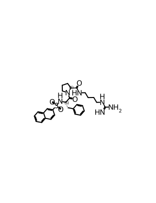 N=C(N)NCCCCNC(=O)[C@@H]1CCCN1C(=O)[C@H](Cc1ccccc1)NS(=O)(=O)c1ccc2ccccc2c1